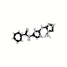 Cn1cnnc1Sc1ncc(NC(=O)c2ccccc2)s1